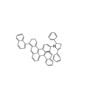 C1=C(c2ccccc2)N(c2ccc(-c3c4c(cc5cccc(-c6cccc7ccccc67)c35)=C(c3cccc5ccccc35)CCC=4)cc2)C(c2ccccc2)C1